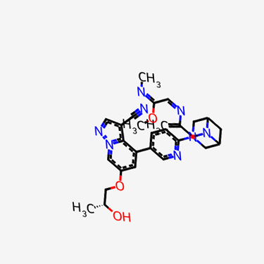 C=C(CN1C2CC1CN(c1ccc(-c3cc(OC[C@@H](C)O)cn4ncc(C#N)c34)cn1)C2)/N=C\C(=N/C)OC